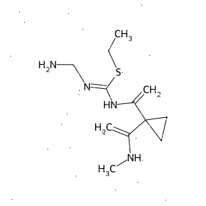 C=C(NC)C1(C(=C)N/C(=N/CN)SCC)CC1